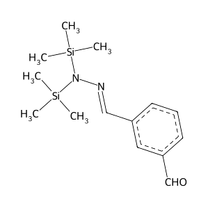 C[Si](C)(C)N(/N=C/c1cccc(C=O)c1)[Si](C)(C)C